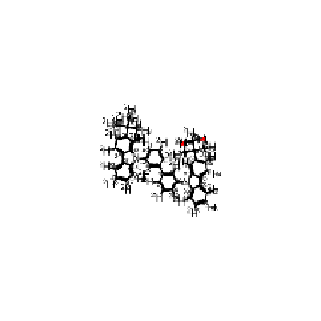 [2H]c1c([2H])c(-c2c([2H])c([2H])c([2H])c(-n3c4c([2H])c([2H])c([2H])c([2H])c4c4c([2H])c([2H])c(C(C([2H])([2H])[2H])(C([2H])([2H])[2H])C([2H])([2H])[2H])c([2H])c43)c2[2H])c([2H])c(-n2c3c([2H])c([2H])c([2H])c([2H])c3c3c([2H])c([2H])c(C(C([2H])([2H])[2H])(C([2H])([2H])[2H])C([2H])([2H])[2H])c([2H])c32)c1[2H]